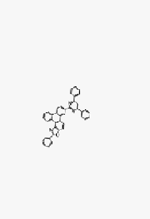 c1ccc(-c2cc(-c3ccccc3)nc(-c3ccc4c5ccccc5c5c(ccc6oc(-c7ccccc7)nc65)c4c3)n2)cc1